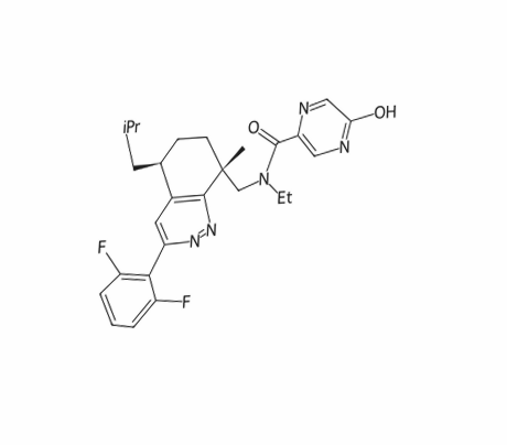 CCN(C[C@@]1(C)CC[C@H](CC(C)C)c2cc(-c3c(F)cccc3F)nnc21)C(=O)c1cnc(O)cn1